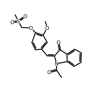 COc1cc(C=C2C(=O)c3ccccc3N2C(C)=O)ccc1OCS(C)(=O)=O